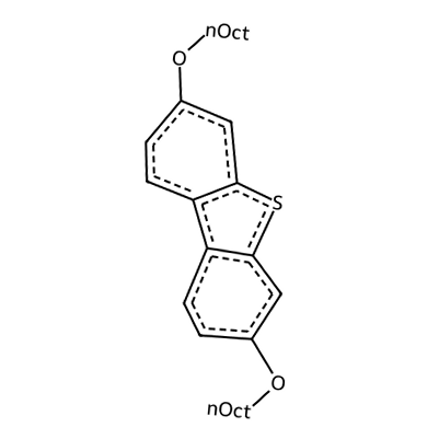 CCCCCCCCOc1ccc2c(c1)sc1cc(OCCCCCCCC)ccc12